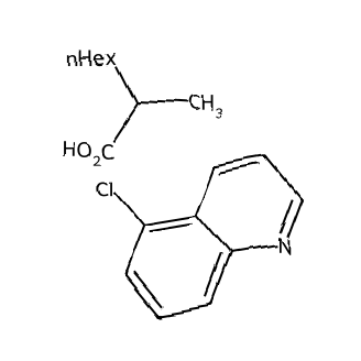 CCCCCCC(C)C(=O)O.Clc1cccc2ncccc12